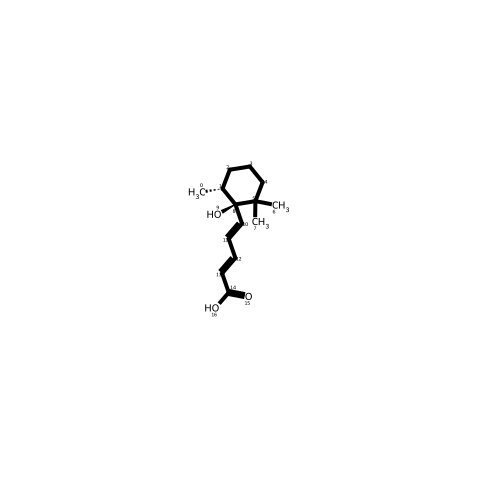 C[C@@H]1CCCC(C)(C)[C@]1(O)C=CC=CC(=O)O